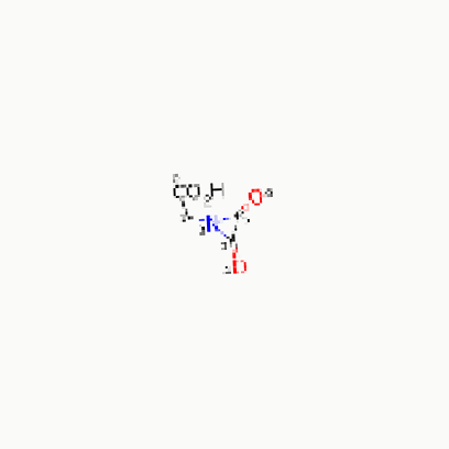 O=C(O)Cn1c(=O)c1=O